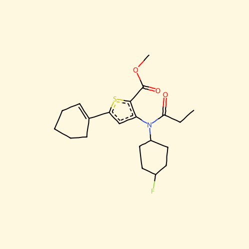 CCC(=O)N(c1cc(C2=CCCCC2)sc1C(=O)OC)C1CCC(F)CC1